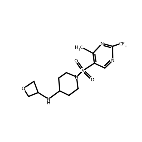 Cc1nc(C(F)(F)F)ncc1S(=O)(=O)N1CCC(NC2COC2)CC1